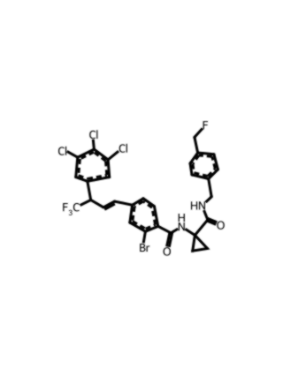 O=C(NC1(C(=O)NCc2ccc(CF)cc2)CC1)c1ccc(/C=C/C(c2cc(Cl)c(Cl)c(Cl)c2)C(F)(F)F)cc1Br